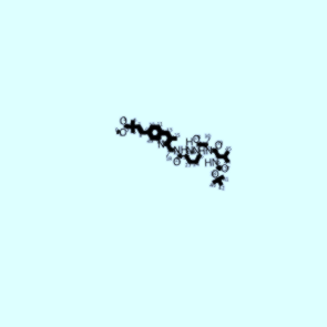 COC(=O)C(C)(C)/C=C/c1ccc2cc(C)c([C@@H](C)NC(=O)[C@@H]3CCCN(C(=O)[C@H](C)NC(=O)[C@@H](NC(=O)OC(C)(C)C)C(C)C)N3)nc2c1